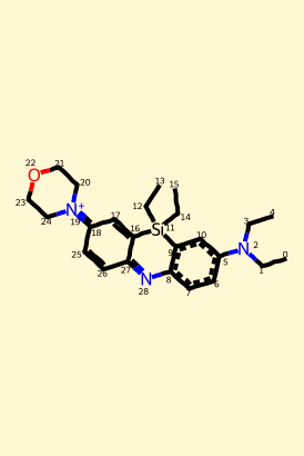 CCN(CC)c1ccc2c(c1)[Si](CC)(CC)C1=CC(=[N+]3CCOCC3)C=CC1=N2